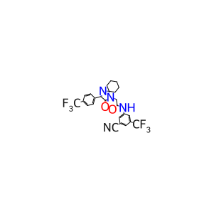 N#Cc1cc(NC(=O)CN2C(=O)C(c3ccc(C(F)(F)F)cc3)=NC23CCCCC3)cc(C(F)(F)F)c1